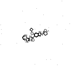 C[C@]12CC[C@](n3cc4cc(C(=O)Nc5cnn6cccnc56)c(OC5CCC5)cc4n3)(CO1)C2